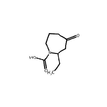 CCC1CC(=O)CCCN1C(=O)O